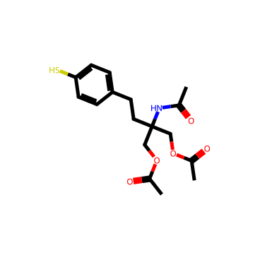 CC(=O)NC(CCc1ccc(S)cc1)(COC(C)=O)COC(C)=O